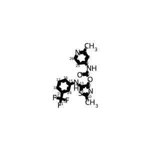 Cc1cc(NC(=O)Oc2nc(C)sc2Nc2cccc(C(F)(F)F)c2)ccn1